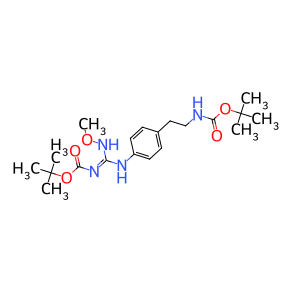 CONC(=NC(=O)OC(C)(C)C)Nc1ccc(CCNC(=O)OC(C)(C)C)cc1